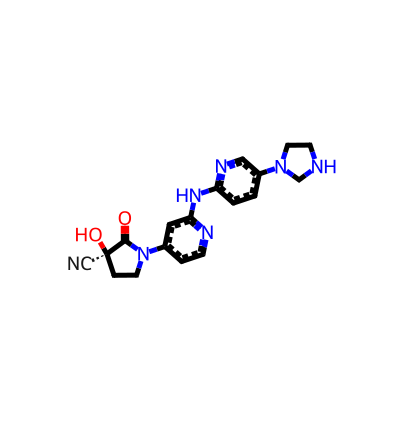 N#C[C@@]1(O)CCN(c2ccnc(Nc3ccc(N4CCNC4)cn3)c2)C1=O